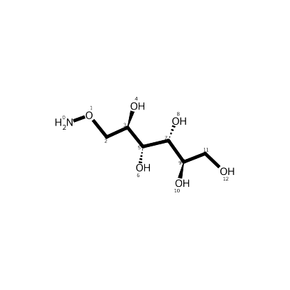 NOC[C@@H](O)[C@@H](O)[C@H](O)[C@H](O)CO